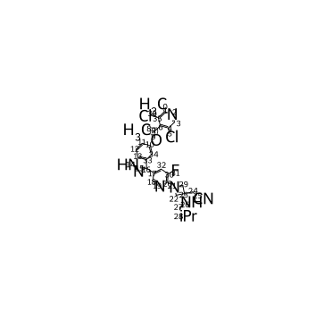 Cc1ncc(Cl)c([C@@H](C)Oc2ccc3[nH]nc(-c4cnc(N5CC(CC#N)(NCC(C)C)C5)c(F)c4)c3c2)c1Cl